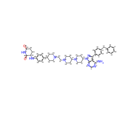 Nc1ncnc2c1c(-c1ccc(Cc3ccccc3)cc1)nn2C1CCN(C2CCN(CCN3CCC(c4ccc(NC5CCC(=O)NC5=O)cc4)CC3)CC2)CC1